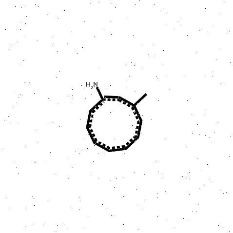 Cc1cccccccc(N)c1